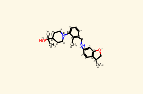 CC(=O)O[C@@H]1COc2cc(NCc3cccc(N4CCC(C(C)(C)O)CC4)c3C)ccc21